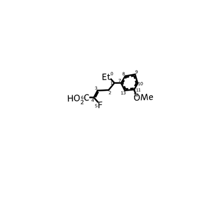 CCC(CC=C(F)C(=O)O)c1cccc(OC)c1